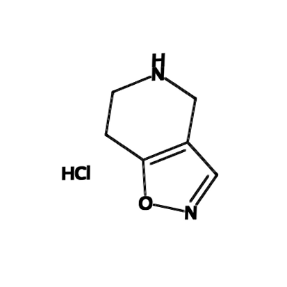 Cl.c1noc2c1CNCC2